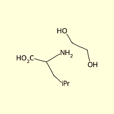 CC(C)CC(N)C(=O)O.OCCO